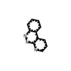 c1ccc2c(c1)nnc1ncccc12